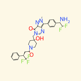 Cn1nc2c(=O)n(CC3(O)CCN(C(=O)C[C@H](c4ccccc4)C(F)(F)F)CC3)cnc2c1-c1ccc([C@H](N)C(F)F)cc1